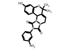 CC1(C)Oc2cc(O)ccc2C2C1=CCn1c(=O)n(-c3cccc([N+](=O)[O-])c3)c(=O)n12